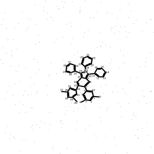 Cc1cc(C)cc(-c2cc3c(-c4ccccc4)n(-c4ccccc4)c(-c4ccccc4)c3cc2-c2cc(C)cc(C)c2)c1